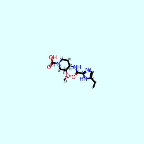 CCc1cnc(C(=O)N[C@@H]2CCN(C(=O)O)C[C@@H]2OC)[nH]1